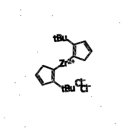 CC(C)(C)C1=[C]([Zr+2][C]2=C(C(C)(C)C)C=CC2)CC=C1.[Cl-].[Cl-]